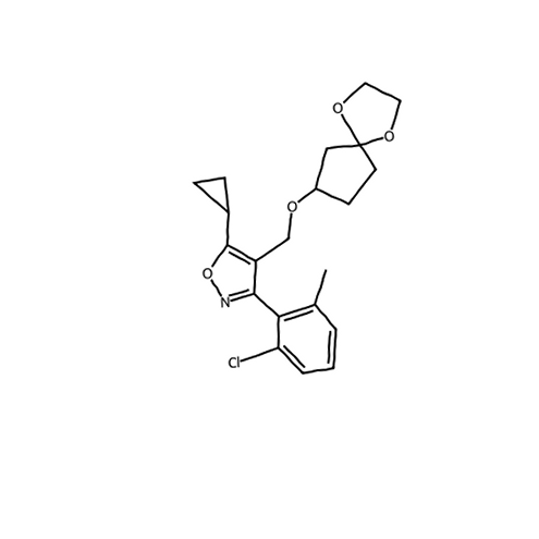 Cc1cccc(Cl)c1-c1noc(C2CC2)c1COC1CCC2(C1)OCCO2